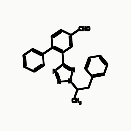 CC(Cc1ccccc1)n1nnc(-c2cc(C=O)ccc2-c2ccccc2)n1